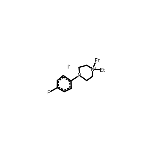 CC[N+]1(CC)CCN(c2ccc(F)cc2)CC1.[I-]